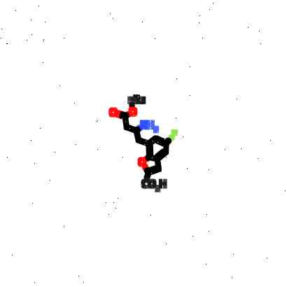 CCCCOC(=O)CC(N)Cc1cc(F)cc2cc(C(=O)O)oc12